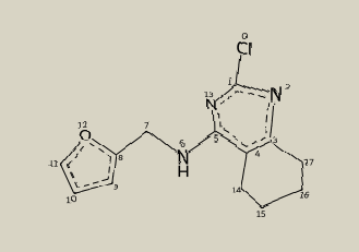 Clc1nc2c(c(NCc3ccco3)n1)CCCC2